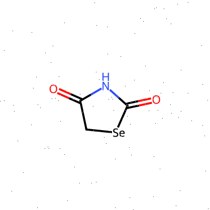 O=C1C[Se]C(=O)N1